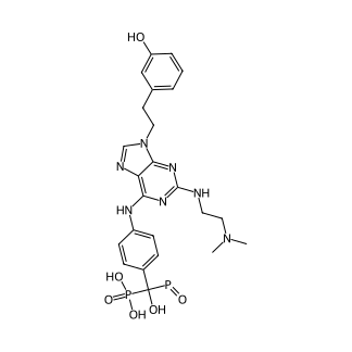 CN(C)CCNc1nc(Nc2ccc(C(O)(P=O)P(=O)(O)O)cc2)c2ncn(CCc3cccc(O)c3)c2n1